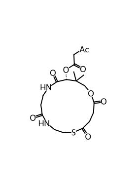 CC(=O)CC(=O)O[C@H]1C(=O)NCCC(=O)NCCSC(=O)CCC(=O)OCC1(C)C